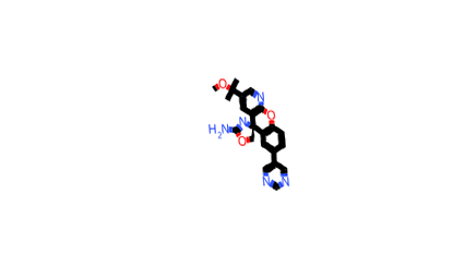 COC(C)(C)c1cnc2c(c1)[C@]1(COC(N)=N1)c1cc(-c3cncnc3)ccc1O2